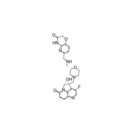 O=C1COc2ccc(CNC[C@H]3CN(C[C@]4(O)Cn5c(=O)ccc6ncc(F)c4c65)CCO3)nc2N1